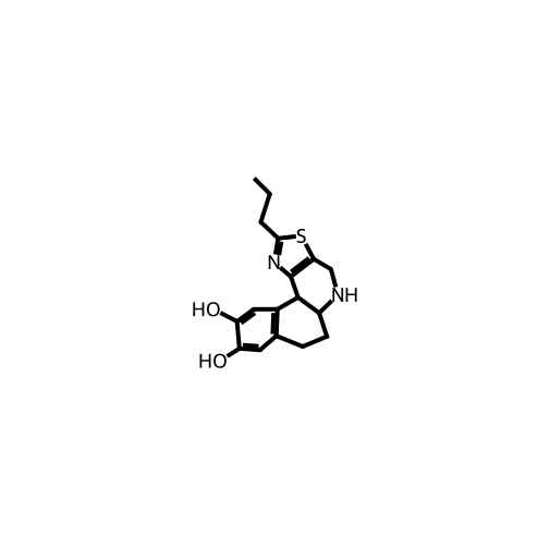 CCCc1nc2c(s1)CNC1CCc3cc(O)c(O)cc3C21